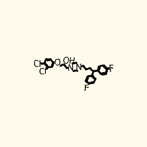 OC(COc1ccc(Cl)c(Cl)c1)CN1CCN(CCCC(c2ccc(F)cc2)c2ccc(F)cc2)CC1